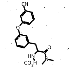 CN(C)C(=O)C(Cc1cccc(Oc2cccc(C#N)c2)c1)NC(=O)O